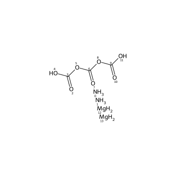 N.N.O=C(O)OC(=O)OC(=O)O.[MgH2].[MgH2]